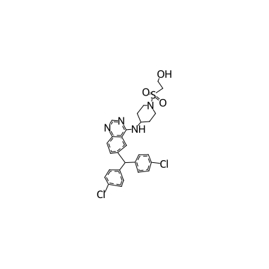 O=S(=O)(CCO)N1CCC(Nc2ncnc3ccc(C(c4ccc(Cl)cc4)c4ccc(Cl)cc4)cc23)CC1